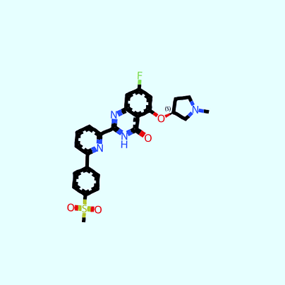 CN1CC[C@H](Oc2cc(F)cc3nc(-c4cccc(-c5ccc(S(C)(=O)=O)cc5)n4)[nH]c(=O)c23)C1